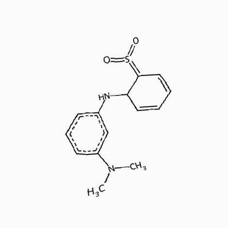 CN(C)c1cccc(NC2C=CC=CC2=S(=O)=O)c1